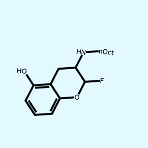 CCCCCCCCNC1Cc2c(O)cccc2OC1F